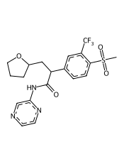 CS(=O)(=O)c1ccc(C(CC2CCCO2)C(=O)Nc2cnccn2)cc1C(F)(F)F